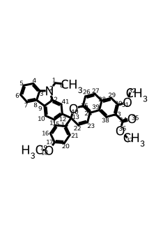 CCn1c2ccccc2c2ccc(C3(c4ccc(OC)cc4)C=Cc4c(ccc5cc(OC)c(C(=O)OC)cc45)O3)cc21